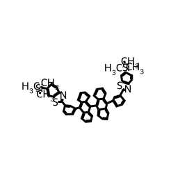 C[Si](C)(C)c1ccc2nc(-c3cccc(-c4c5ccccc5c(-c5c6ccccc6c(-c6cccc(-c7nc8ccc([Si](C)(C)C)cc8s7)c6)c6ccccc56)c5ccccc45)c3)sc2c1